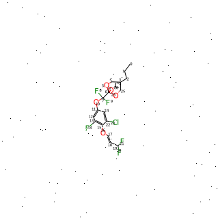 CCCC12COC(C(F)(F)Oc3cc(F)c(O/C=C/C(F)F)c(Cl)c3)(OC1)OC2